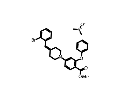 COC(=O)c1ccc(N2CCC(=Cc3ccccc3Br)CC2)cc1Oc1ccccc1.C[S+](C)[O-]